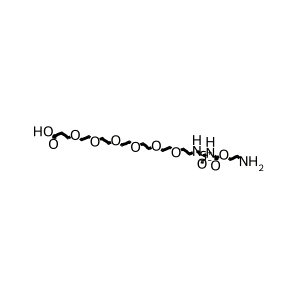 NCCOC(=O)N[S+]([O-])NCCOCCOCCOCCOCCOCCOCCC(=O)O